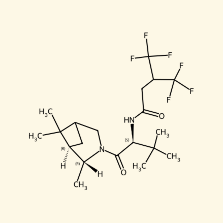 C[C@@H]1[C@@H]2CC(CN1C(=O)[C@@H](NC(=O)CC(C(F)(F)F)C(F)(F)F)C(C)(C)C)C2(C)C